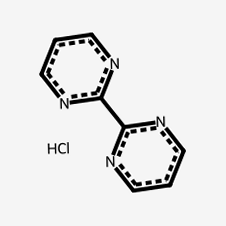 Cl.c1cnc(-c2ncccn2)nc1